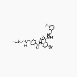 CCSCCNCc1ccc(C(=O)Nc2ccc(Br)cc2C(=O)N/N=C/c2cccc(F)c2)cc1